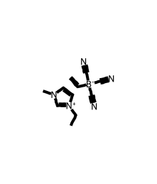 C=C[B-](C#N)(C#N)C#N.CC[n+]1ccn(C)c1